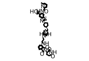 Cc1cccc(C(=O)Nc2cc3sc([C@H]4CC[C@H](CN5C[C@@H]6C[C@H]5CN6CCCNc5cccc6c5C(=O)N(C5CCC(=O)NC5=O)C6=O)CC4)nc3cc2C(C)(C)O)n1